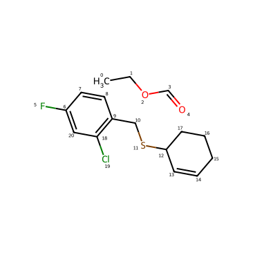 CCOC=O.Fc1ccc(CSC2C=CCCC2)c(Cl)c1